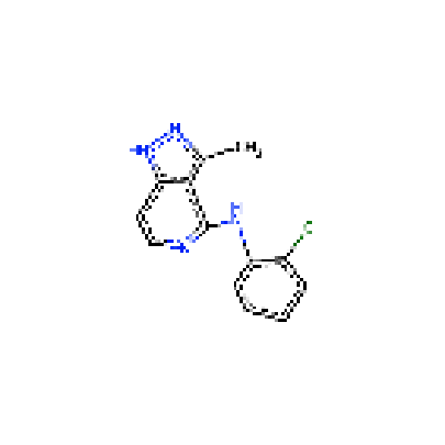 Cc1n[nH]c2ccnc(Nc3ccccc3Cl)c12